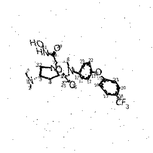 CN(C)[C@H]1CCN([C@@H](CN(c2ccc(Oc3ccc(C(F)(F)F)cc3)cc2)S(C)(=O)=O)C(=O)NO)C1